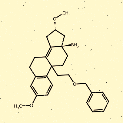 B[C@@]12CCC3(CCOCc4ccccc4)C(=C1C[C@H](OC)C2)CCc1cc(OC)ccc13